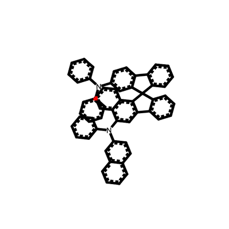 c1ccc(N(c2ccccc2)c2ccc3c(c2)C2(c4ccccc4-3)c3ccccc3-c3cc(N(c4ccccc4)c4ccc5ccccc5c4)c4ccccc4c32)cc1